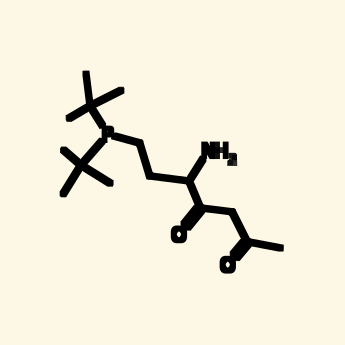 CC(=O)CC(=O)C(N)CCP(C(C)(C)C)C(C)(C)C